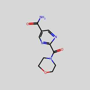 NC(=O)c1cnc(C(=O)N2CCOCC2)nc1